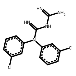 N=C(N)NC(=N)N(c1cccc(Cl)c1)c1cccc(Cl)c1